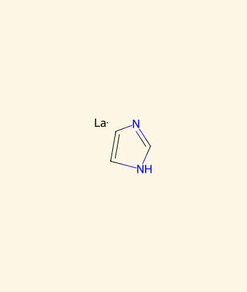 [La].c1c[nH]cn1